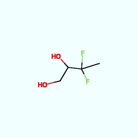 CC(F)(F)C(O)CO